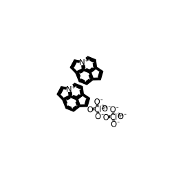 C1=Cc2cc[n+]3c4c(ccc1c24)C=C3.C1=Cc2cc[n+]3c4c(ccc1c24)C=C3.[O-][Cl+3]([O-])([O-])[O-].[O-][Cl+3]([O-])([O-])[O-]